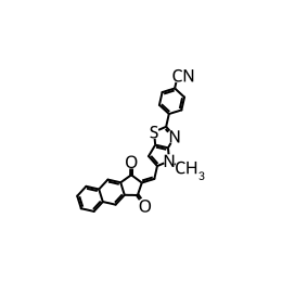 Cn1c(C=C2C(=O)c3cc4ccccc4cc3C2=O)cc2sc(-c3ccc(C#N)cc3)nc21